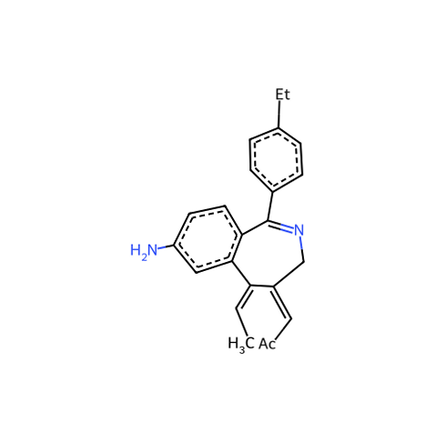 C/C=C1\C(=C/C(C)=O)CN=C(c2ccc(CC)cc2)c2ccc(N)cc21